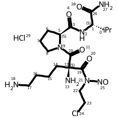 CC(C)[C@H](NC(=O)[C@@H]1CCCN1C(=O)[C@@](N)(CCCCN)C(=O)N(CCCl)N=O)C(N)=O.Cl